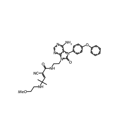 COCCNC(C)(C)C=C(C#N)C(=O)NCCn1c(=O)n(-c2ccc(Oc3ccccc3)cc2)c2c(N)ncnc21